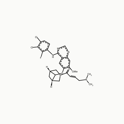 COc1cc2ncnc(Nc3ccc(Cl)c(Cl)c3F)c2cc1OC1[C@@H]2C[C@H]1CN(C(=O)/C=C/CN(C)C)C2